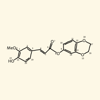 COc1cc(/C=C/C(=O)Oc2ccc3c(c2)OCCO3)ccc1O